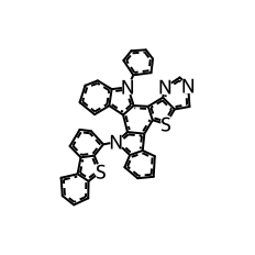 c1ccc(-n2c3ccccc3c3c4c(c5ccccc5n4-c4cccc5c4sc4ccccc45)c4sc5cncnc5c4c32)cc1